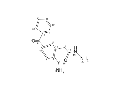 NCc1ccc(C(=O)c2ccccc2)cc1CC(=O)NN